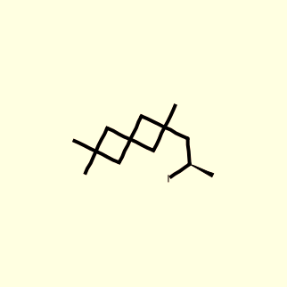 C[C@@H](I)CC1(C)CC2(CC(C)(C)C2)C1